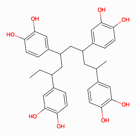 CCC(CC(CC(CC(C)c1ccc(O)c(O)c1)c1ccc(O)c(O)c1)c1ccc(O)c(O)c1)c1ccc(O)c(O)c1